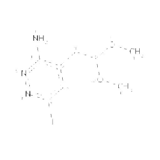 COC(Cc1cc(I)nnc1N)OC